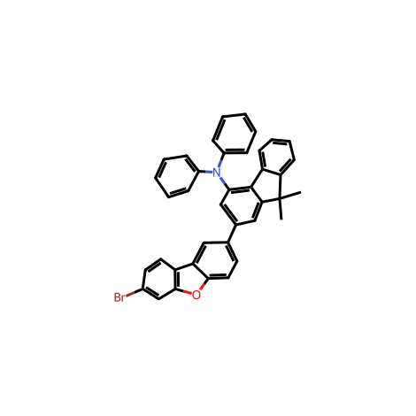 CC1(C)c2ccccc2-c2c(N(c3ccccc3)c3ccccc3)cc(-c3ccc4oc5cc(Br)ccc5c4c3)cc21